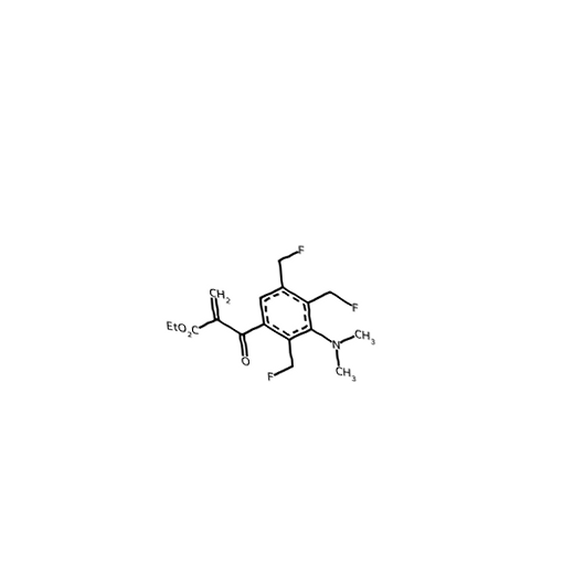 C=C(C(=O)OCC)C(=O)c1cc(CF)c(CF)c(N(C)C)c1CF